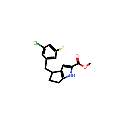 COC(=O)c1cc2c([nH]1)CCC2Cc1cc(F)cc(Cl)c1